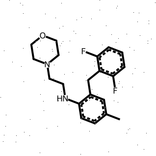 Cc1ccc(NCCN2CCOCC2)c(Cc2c(F)cccc2F)c1